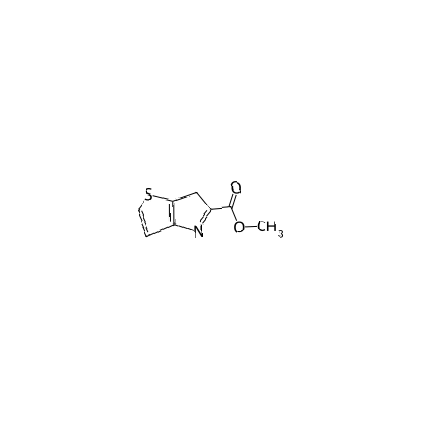 COC(=O)C1=Nc2ccsc2C1